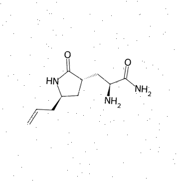 C=CC[C@@H]1C[C@@H](C[C@H](N)C(N)=O)C(=O)N1